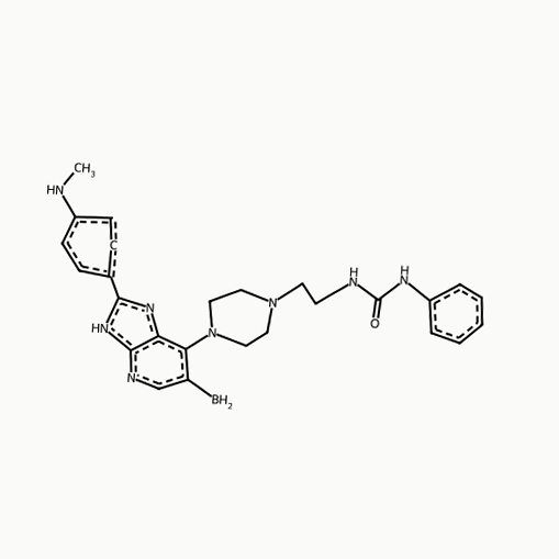 Bc1cnc2[nH]c(-c3ccc(NC)cc3)nc2c1N1CCN(CCNC(=O)Nc2ccccc2)CC1